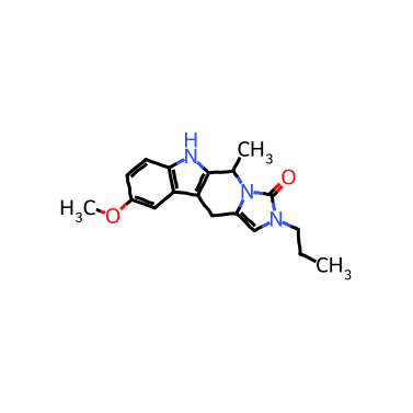 CCCn1cc2n(c1=O)C(C)c1[nH]c3ccc(OC)cc3c1C2